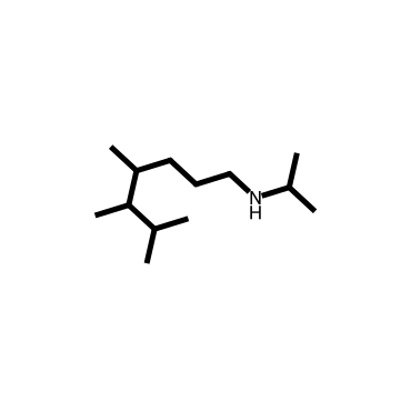 CC(C)NCCCC(C)C(C)C(C)C